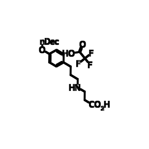 CCCCCCCCCCOc1ccc(CCCNCCC(=O)O)cc1.O=C(O)C(F)(F)F